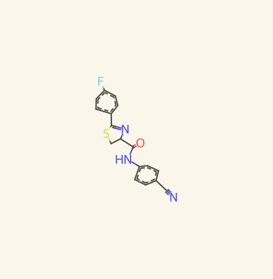 N#Cc1ccc(NC(=O)C2CSC(c3ccc(F)cc3)=N2)cc1